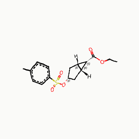 CCOC(=O)[C@@H]1[C@@H]2C[C@H](OS(=O)(=O)c3ccc(C)cc3)C[C@@H]21